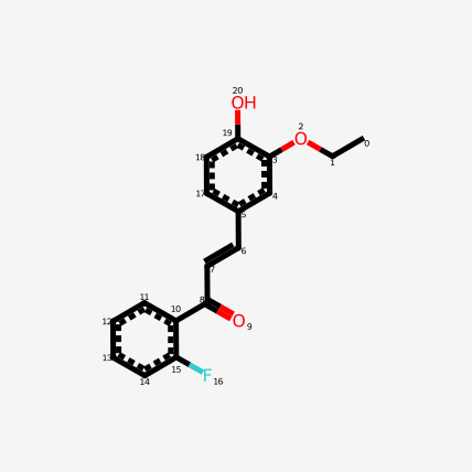 CCOc1cc(/C=C/C(=O)c2ccccc2F)ccc1O